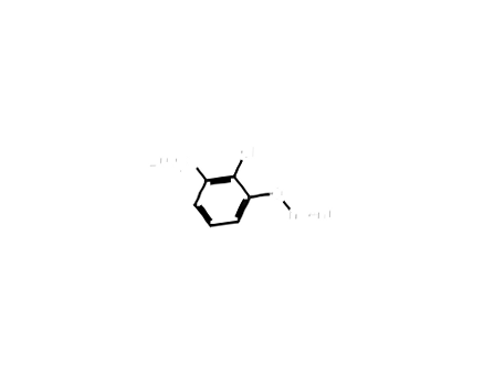 CCCCCOc1cccc(C(=O)OCC)c1C